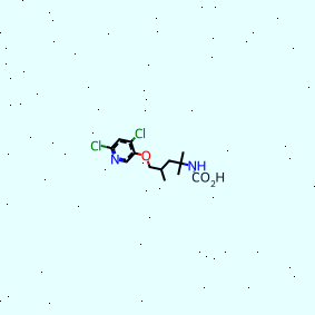 CC(COc1cnc(Cl)cc1Cl)CC(C)(C)NC(=O)O